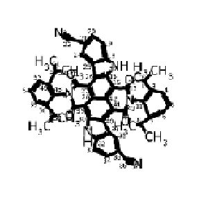 CC(C)c1cccc(C(C)C)c1N1C(=O)c2c3[nH]c4ccc(C#N)cc4c3c3c4c(c5[nH]c6ccc(C#N)cc6c5c(c24)C1=O)C(=O)N(c1c(C(C)C)cccc1C(C)C)C3=O